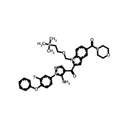 C[Si](C)(C)CCOCn1c(C(=O)c2cnn(-c3ccc(Oc4ccccc4)c(F)c3)c2N)cc2cc(C(=O)N3CCOCC3)ccc21